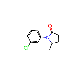 CC1CCC(=O)N1c1cccc(Cl)c1